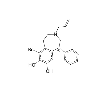 C=CCN1CCc2c(cc(O)c(O)c2Br)[C@@H](c2ccccc2)C1